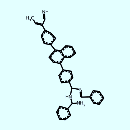 C/C=C(\C=N)c1ccc(-c2ccc(-c3ccc(C(/N=C/c4ccccc4)NC(N)c4ccccc4)cc3)c3ccccc23)cc1